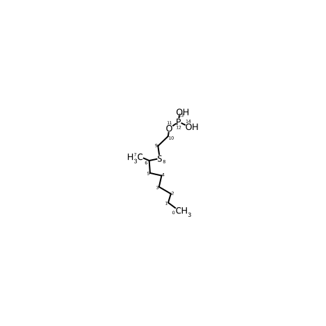 CCCCCCC(C)SCCOP(O)O